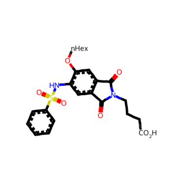 CCCCCCOc1cc2c(cc1NS(=O)(=O)c1ccccc1)C(=O)N(CCCC(=O)O)C2=O